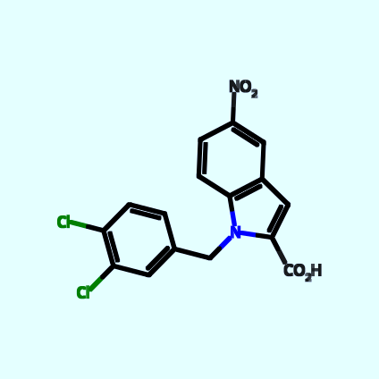 O=C(O)c1cc2cc([N+](=O)[O-])ccc2n1Cc1ccc(Cl)c(Cl)c1